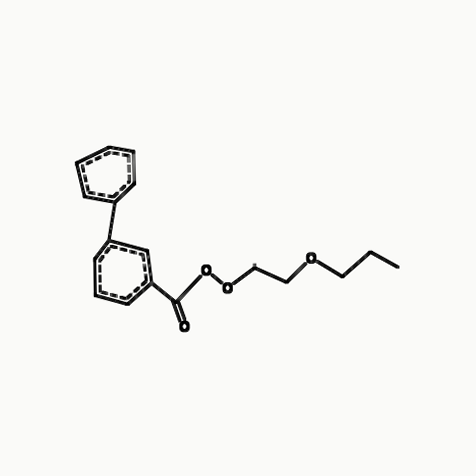 CCCOC[CH]OOC(=O)c1cccc(-c2ccccc2)c1